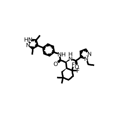 CCn1nccc1C(=O)N[C@H](C(=O)Nc1ccc(-c2c(C)n[nH]c2C)cc1)[C@@H]1CC(C)(C)CCC1(F)F